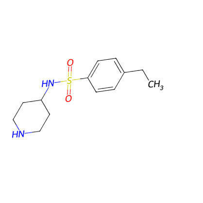 CCc1ccc(S(=O)(=O)NC2CCNCC2)cc1